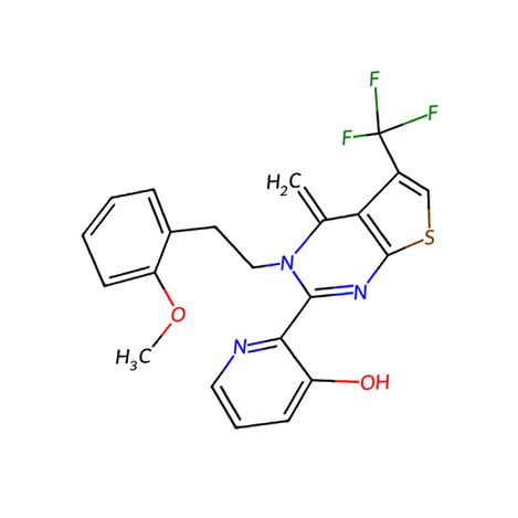 C=C1c2c(C(F)(F)F)csc2N=C(c2ncccc2O)N1CCc1ccccc1OC